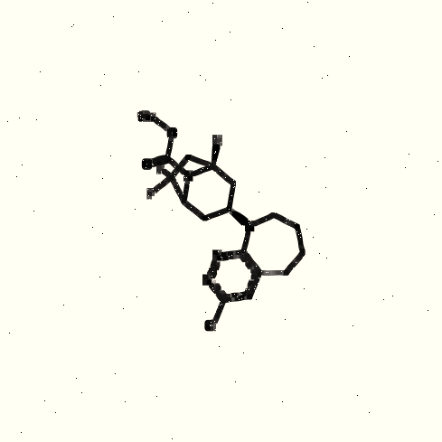 CC(C)(C)OC(=O)N1C2C[C@H](N3CCCCc4cc(Cl)nnc43)C[C@H]1CC2(F)F